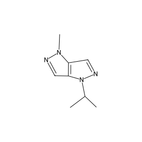 CC(C)n1ncc2c1cnn2C